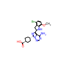 COc1ccc(Br)c2c1NC(c1nc([C@H]3CC[C@H](C(=O)O)CC3)n3ncnc(N)c13)C2